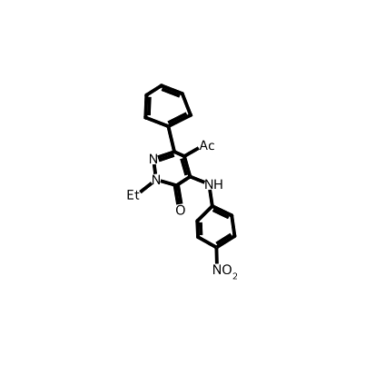 CCn1nc(-c2ccccc2)c(C(C)=O)c(Nc2ccc([N+](=O)[O-])cc2)c1=O